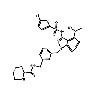 CC(O)c1cccc2c1c(NS(=O)(=O)c1ccc(Cl)s1)nn2Cc1cccc(CNC(=O)[C@@H]2COCCN2)c1